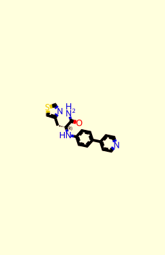 NC(=O)[C@@H](Cc1cscn1)Nc1ccc(-c2ccncc2)cc1